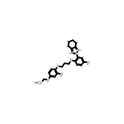 O=C(O)COc1ccc(OCCCOc2ccc(Cl)cc2-n2nc3c(n2)CCCC3)c(Cl)c1